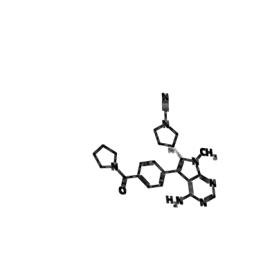 Cn1c([C@@H]2CCN(C#N)C2)c(-c2ccc(C(=O)N3CCCC3)cc2)c2c(N)ncnc21